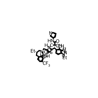 CC[C@H]1Cc2ccc(C(F)(F)F)cc2S(O)(O)N(Cc2nc([C@@H](c3ccc4c(nnn4CC)c3C)C(C)(C)C(=O)Nc3cccnc3)sc2C)C1